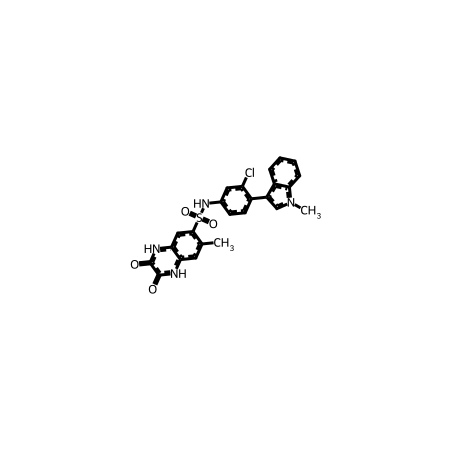 Cc1cc2[nH]c(=O)c(=O)[nH]c2cc1S(=O)(=O)Nc1ccc(-c2cn(C)c3ccccc23)c(Cl)c1